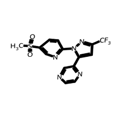 CS(=O)(=O)c1ccc(-n2nc(C(F)(F)F)cc2-c2cnccn2)nc1